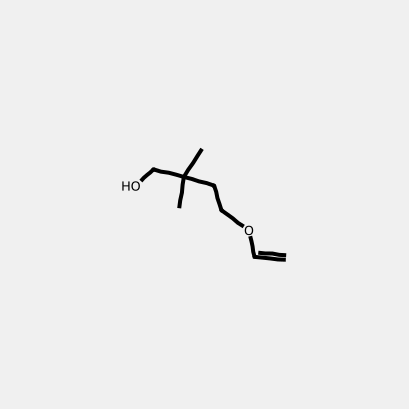 C=COCCC(C)(C)CO